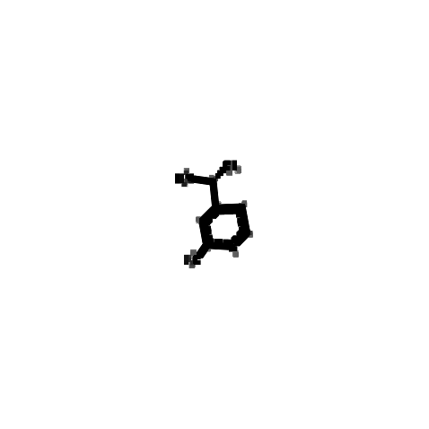 C[C@@H](N)c1ccnc(C(F)(F)F)c1